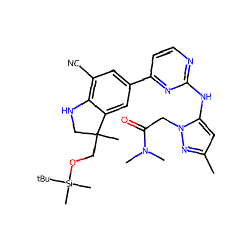 Cc1cc(Nc2nccc(-c3cc(C#N)c4c(c3)C(C)(CO[Si](C)(C)C(C)(C)C)CN4)n2)n(CC(=O)N(C)C)n1